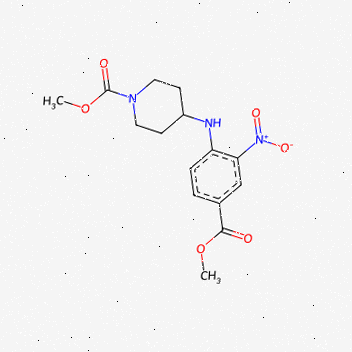 COC(=O)c1ccc(NC2CCN(C(=O)OC)CC2)c([N+](=O)[O-])c1